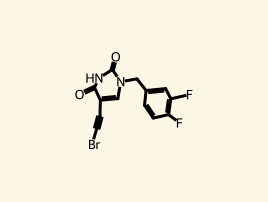 O=c1[nH]c(=O)n(Cc2ccc(F)c(F)c2)cc1C#CBr